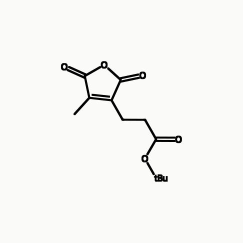 CC1=C(CCC(=O)OC(C)(C)C)C(=O)OC1=O